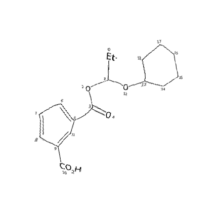 C[CH]C(OC(=O)c1cccc(C(=O)O)c1)OC1CCCCC1